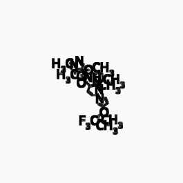 Cc1c(S(=O)(=O)NC(=O)c2ccc(-n3ccc(OCC(C)(C)C(F)(F)F)c3)nc2N2C[C@@H](C)CC2(C)C)cnn1C